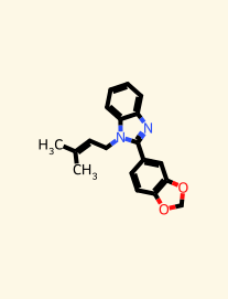 CC(C)=CCn1c(-c2ccc3c(c2)OCO3)nc2ccccc21